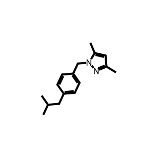 Cc1cc(C)n(Cc2ccc(CC(C)C)cc2)n1